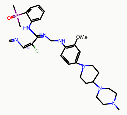 C=N/C=C(Cl)\C(=N/CNc1ccc(N2CCC(N3CCN(C)CC3)CC2)cc1OC)Nc1ccccc1P(C)(C)=O